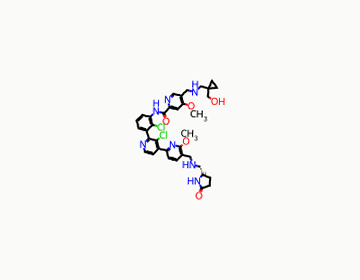 COc1cc(C(=O)Nc2cccc(-c3nccc(-c4ccc(CNC[C@@H]5CCC(=O)N5)c(OC)n4)c3Cl)c2Cl)ncc1CNCC1(CO)CC1